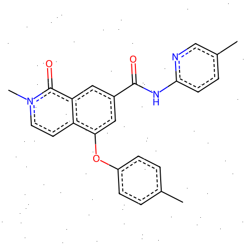 Cc1ccc(Oc2cc(C(=O)Nc3ccc(C)cn3)cc3c(=O)n(C)ccc23)cc1